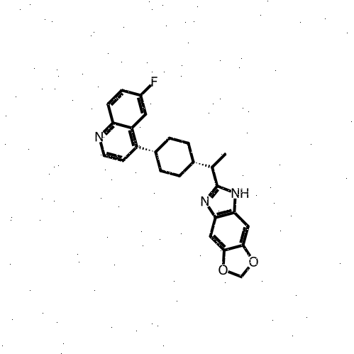 CC(c1nc2cc3c(cc2[nH]1)OCO3)[C@H]1CC[C@@H](c2ccnc3ccc(F)cc32)CC1